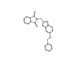 O=C1c2ccccc2C(=O)N1Cc1cc2cc(OCc3ccccc3)ccc2o1